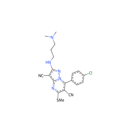 CSc1nc2c(C#N)c(NCCCN(C)C)nn2c(-c2ccc(Cl)cc2)c1C#N